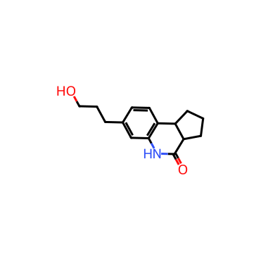 O=C1Nc2cc(CCCO)ccc2C2CCCC12